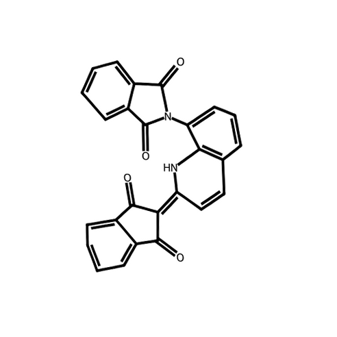 O=C1C(=C2C=Cc3cccc(N4C(=O)c5ccccc5C4=O)c3N2)C(=O)c2ccccc21